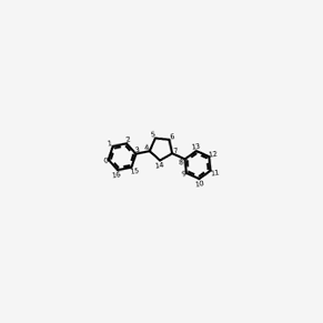 c1ccc(C2CCC(c3ccccc3)C2)cc1